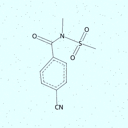 CN(C(=O)c1ccc(C#N)cc1)S(C)(=O)=O